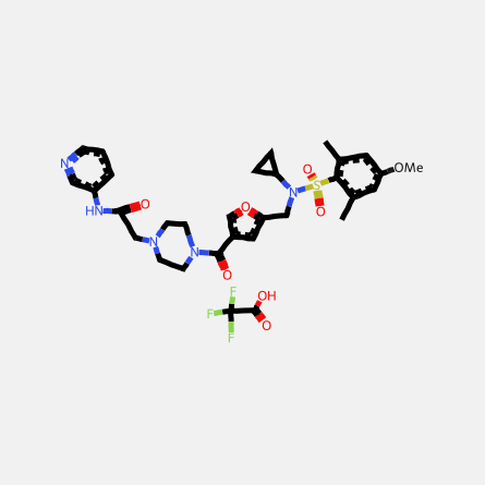 COc1cc(C)c(S(=O)(=O)N(Cc2cc(C(=O)N3CCN(CC(=O)Nc4cccnc4)CC3)co2)C2CC2)c(C)c1.O=C(O)C(F)(F)F